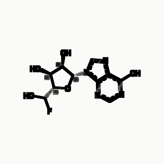 Oc1ncnc2c1ncn2[C@@H]1O[C@H](C(O)F)[C@@H](O)[C@H]1O